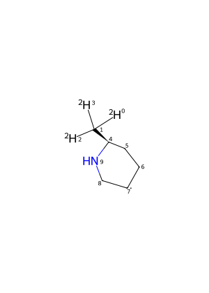 [2H]C([2H])([2H])[C@H]1CC[CH]CN1